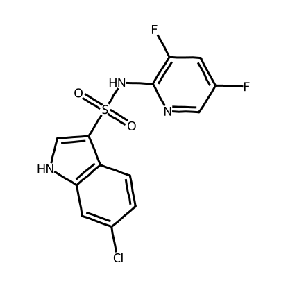 O=S(=O)(Nc1ncc(F)cc1F)c1c[nH]c2cc(Cl)ccc12